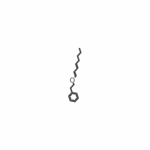 CCCCC=CC=COCCc1ccccc1